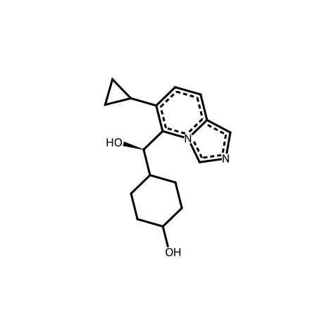 OC1CCC([C@@H](O)c2c(C3CC3)ccc3cncn23)CC1